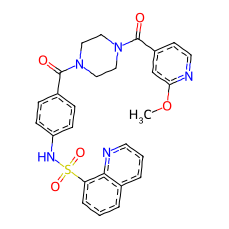 COc1cc(C(=O)N2CCN(C(=O)c3ccc(NS(=O)(=O)c4cccc5cccnc45)cc3)CC2)ccn1